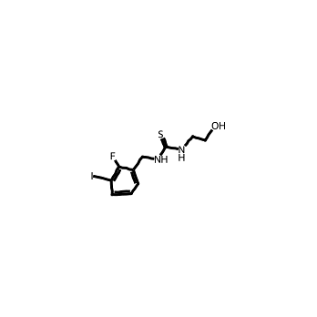 OCCNC(=S)NCc1cccc(I)c1F